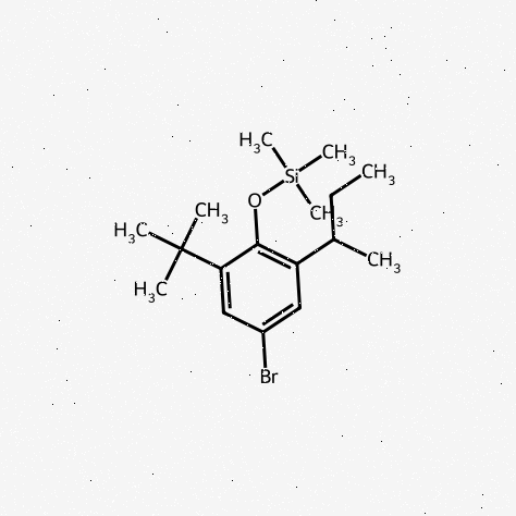 CCC(C)c1cc(Br)cc(C(C)(C)C)c1O[Si](C)(C)C